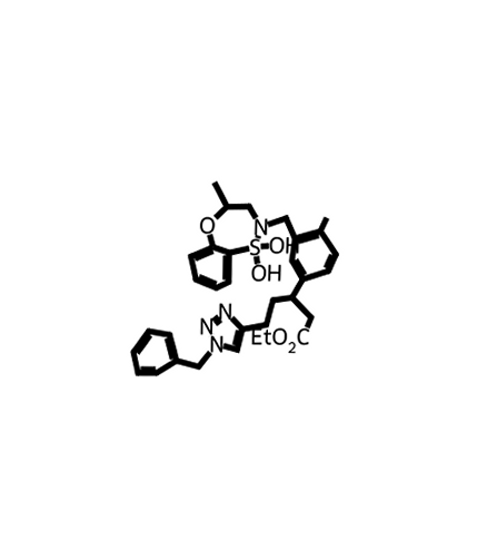 CCOC(=O)CC(CCc1cn(Cc2ccccc2)nn1)c1ccc(C)c(CN2CC(C)Oc3ccccc3S2(O)O)c1